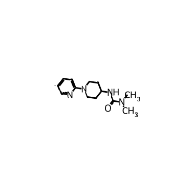 CN(C)C(=O)NC1CCN(c2cc[c]cn2)CC1